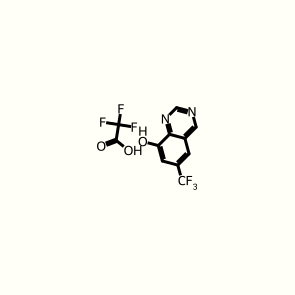 O=C(O)C(F)(F)F.Oc1cc(C(F)(F)F)cc2cncnc12